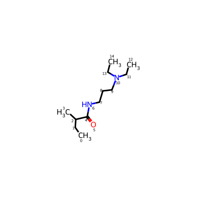 CCC(C)C(=O)NCCCN(CC)CC